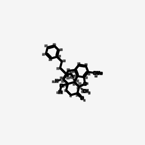 CCOC12CCC(=O)[C@]3(C)Oc4c(OC)ccc5c4[C@]13CCN(CCc1ccccc1)[C@@H]2C5